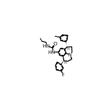 CCCNC(=O)Nc1cc2c3c(c1)[C@H](c1cccc(F)c1)CCN3CC[C@H]2c1cccc(C)c1